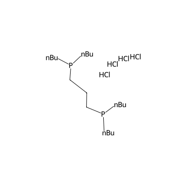 CCCCP(CCCC)CCCP(CCCC)CCCC.Cl.Cl.Cl.Cl